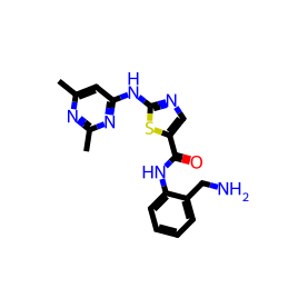 Cc1cc(Nc2ncc(C(=O)Nc3ccccc3CN)s2)nc(C)n1